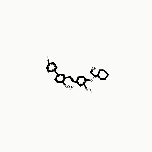 C=C[C@@H](Oc1ccc(/C=C/c2cc(-c3ccc(F)cc3)ccc2C(=O)O)cc1[N+](=O)[O-])C1CCCCC1